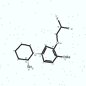 COc1ccc([C@H]2C[CH]CC[C@H]2N)cc1OCC(F)F